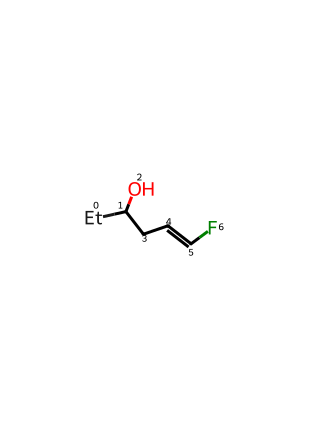 CCC(O)C/C=C/F